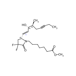 CCC#CC[C@H](C)[C@@H](O)/C=C/[C@H]1CC(F)(F)C(=O)N1CCCCCCC(=O)OC